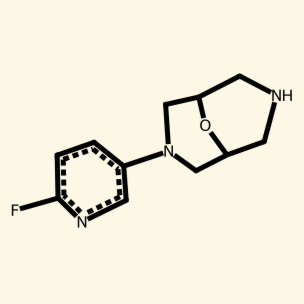 Fc1ccc(N2CC3CNCC(C2)O3)cn1